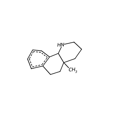 CC12CCCNC1c1ccccc1CC2